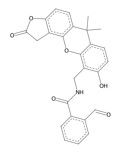 CC1(C)c2ccc(O)c(CNC(=O)c3ccccc3C=O)c2Oc2c1ccc1c2CC(=O)O1